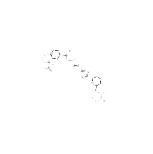 C[C@@H]1CN(c2cccc(-c3csc(NC(=O)CNC(=O)c4ccc5c(c4)[C@](F)(C(F)F)CCO5)n3)n2)C[C@H](C)O1